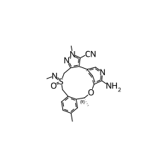 CN=S1(=O)Cc2ccc(C)cc2[C@@H](C)Oc2cc(cnc2N)-c2c(nn(C)c2C#N)C1